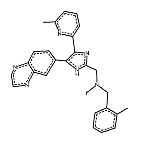 Cc1cccc(-c2nc(CN(I)Cc3ccccc3C)[nH]c2-c2ccc3nccnc3c2)n1